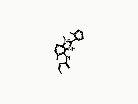 C=C(/C=C\C)Pc1c(C)ccc2c1[nH]c(-c1ccccc1C)[n+]2C